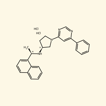 C[C@@H](N[C@H]1CCN(c2cc(-c3ccccc3)ncn2)C1)c1cccc2ccccc12.Cl.Cl